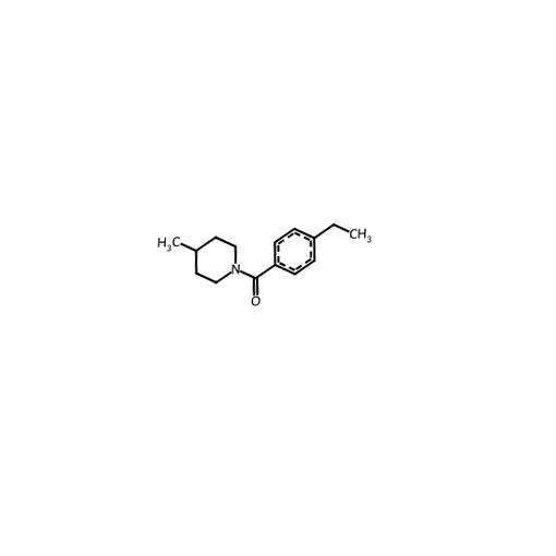 CCc1ccc(C(=O)N2CCC(C)CC2)cc1